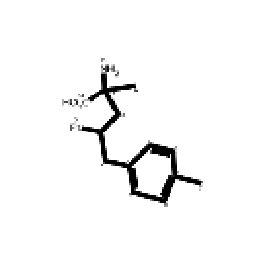 CCC(Cc1ccc(C)cc1)CC(C)(N)C(=O)O